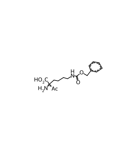 CC(=O)[C@](N)(CCCCNC(=O)OCc1ccccc1)C(=O)O